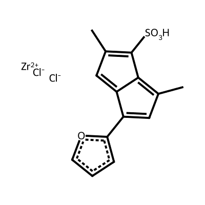 CC1=C2C(=CC(C)=C2S(=O)(=O)O)C(c2ccco2)=C1.[Cl-].[Cl-].[Zr+2]